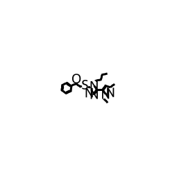 CCCCn1c(SCC(=O)c2ccccc2)nnc1-c1cc(C)nn1CC